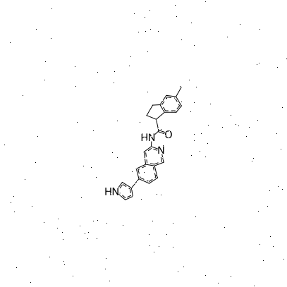 Cc1ccc2c(c1)CCC2C(=O)Nc1cc2cc(-c3cc[nH]c3)ccc2cn1